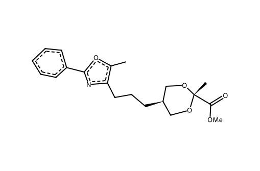 COC(=O)[C@]1(C)OC[C@@H](CCCc2nc(-c3ccccc3)oc2C)CO1